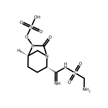 N=C(NS(=O)(=O)CN)[C@@H]1CC[C@@H]2CN1C(=O)N2OS(=O)(=O)O